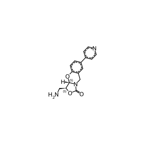 NC[C@@H]1OC(=O)N2Cc3cc(-c4ccncc4)ccc3O[C@@H]12